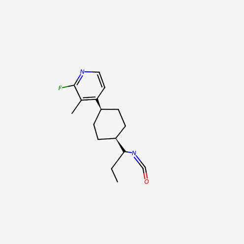 CCC(N=C=O)[C@H]1CC[C@@H](c2ccnc(F)c2C)CC1